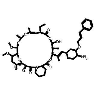 CCC1/C=C(\C)CC(C)CC(OC)C2OC(O)(C(=O)C(=O)N3CCCCC3C(=O)OC(C(C)=CC3CCC(N)C(OCC=Cc4ccccc4)C3)C(C)C(O)CC1=O)C(C)CC2OC